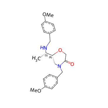 COc1ccc(CN[C@@H](C)[C@H]2CN(Cc3ccc(OC)cc3)C(=O)CO2)cc1